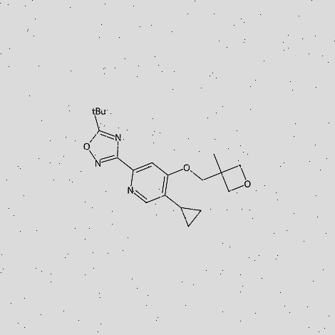 CC1(COc2cc(-c3noc(C(C)(C)C)n3)ncc2C2CC2)COC1